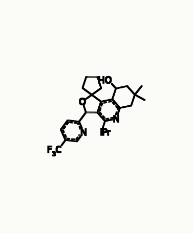 CC(C)c1nc2c(c3c1C(c1ccc(C(F)(F)F)cn1)OC31CCCC1)C(O)CC(C)(C)C2